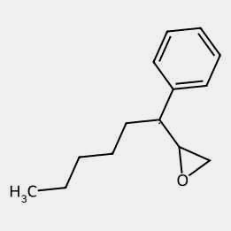 CCCCC[C](c1ccccc1)C1CO1